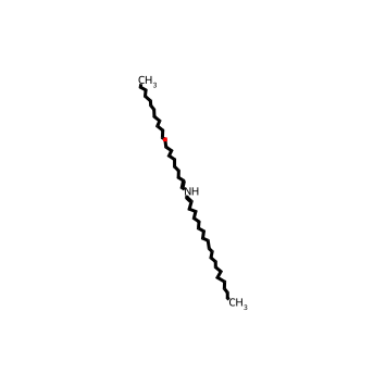 CCCCCCCCCCCCCCCCCCCCC=CNC=CCCCCCCCCCCCCCCCCCCCC